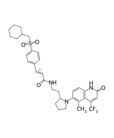 Cc1c(N2CCCC2CCNC(=O)/C=C/c2ccc(S(=O)(=O)CC3CCCCC3)cc2)ccc2[nH]c(=O)cc(C(F)(F)F)c12